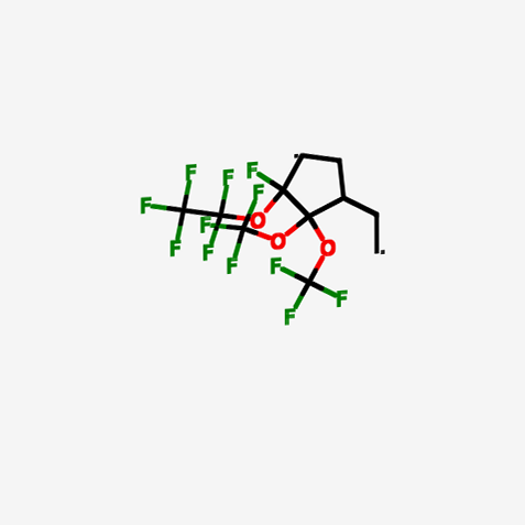 [CH2]CC1C[CH]C(F)(OC(F)(F)C(F)(F)F)C1(OC(F)(F)F)OC(F)(F)F